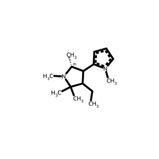 CCC1C(c2cccn2C)[C@@H](C)N(C)C1(C)C